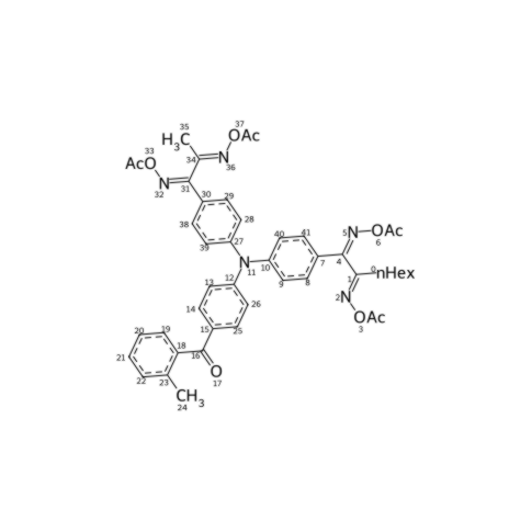 CCCCCCC(=NOC(C)=O)/C(=N\OC(C)=O)c1ccc(N(c2ccc(C(=O)c3ccccc3C)cc2)c2ccc(C(=NOC(C)=O)C(C)=NOC(C)=O)cc2)cc1